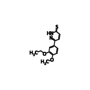 CCOc1cc(-c2ccc(=S)[nH]n2)ccc1OC